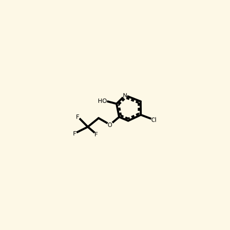 Oc1ncc(Cl)cc1OCC(F)(F)F